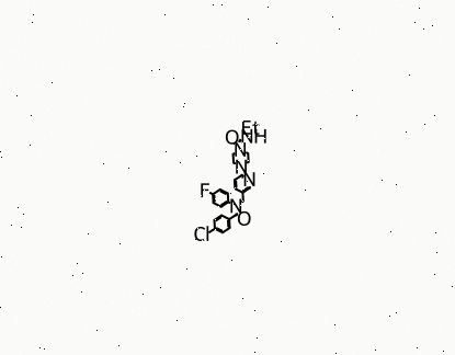 CCNC(=O)N1CCN(c2ccc(CN(C(=O)c3ccc(Cl)cc3)c3ccc(F)cc3)cn2)CC1